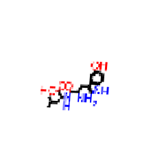 CC(C)C[C@H](NC(=O)[C@@H](N)Cc1c[nH]c2ccc(O)cc12)C(=O)O